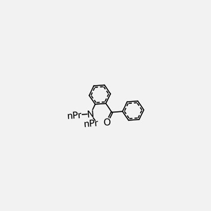 CCCN(CCC)c1ccccc1C(=O)c1ccccc1